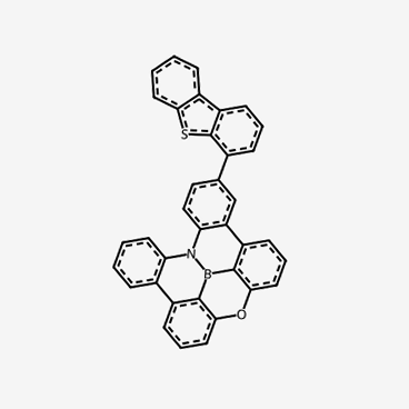 c1ccc2c(c1)-c1cccc3c1B1c4c(cccc4-c4cc(-c5cccc6c5sc5ccccc56)ccc4N12)O3